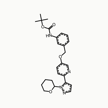 CC(C)(C)OC(=O)Nc1cccc(COc2ccc(-c3ccnn3C3CCCCO3)nc2)c1